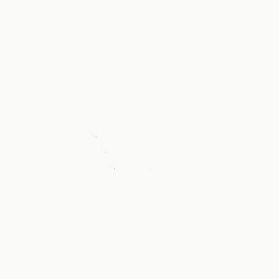 [N-]=[N+]=NC(F)(F)C(=O)c1ccc2ccccc2c1